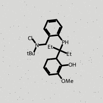 CCC(CC)(Pc1ccccc1CN(Cl)C(C)(C)C)C1CC=CC(OC)=C1O